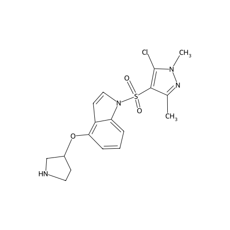 Cc1nn(C)c(Cl)c1S(=O)(=O)n1ccc2c(OC3CCNC3)cccc21